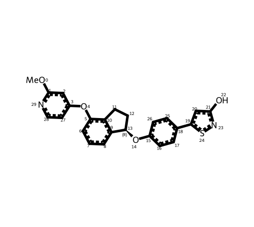 COc1cc(Oc2cccc3c2CC[C@H]3Oc2ccc(-c3cc(O)ns3)cc2)ccn1